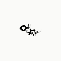 O=[N+]([O-])CC(Nc1ccccc1)C(F)(F)F